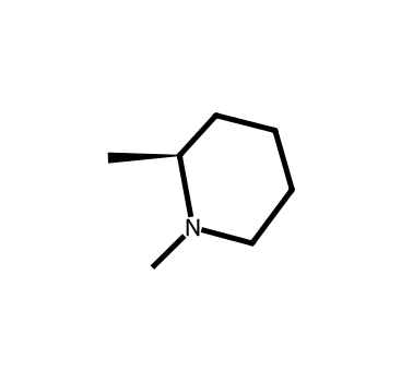 C[C@H]1CCCCN1C